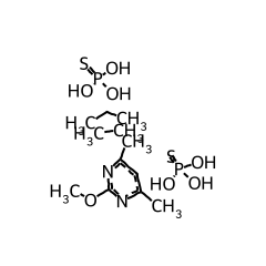 CC.CCC.COc1nc(C)cc(C)n1.OP(O)(O)=S.OP(O)(O)=S